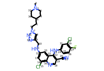 CN1CCC(CCn2cc(CNc3cc(Cl)c4ncc(C#N)c(Nc5ccc(F)c(Cl)c5)c4c3)nn2)CC1